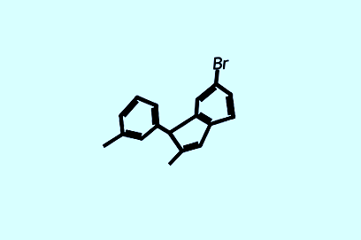 CC1=Cc2ccc(Br)cc2C1c1cccc(C)c1